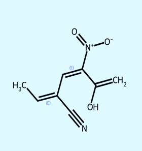 C=C(O)/C(=C\C(C#N)=C/C)[N+](=O)[O-]